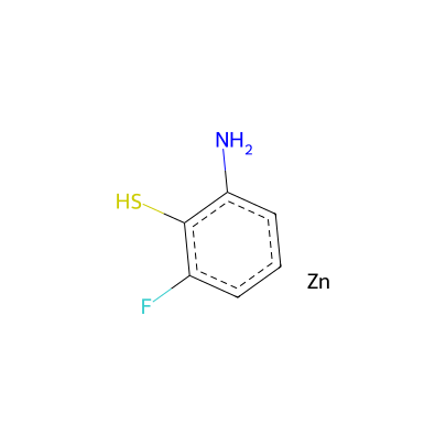 Nc1cccc(F)c1S.[Zn]